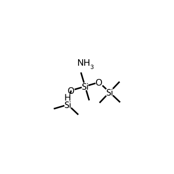 C[SiH](C)O[Si](C)(C)O[Si](C)(C)C.N